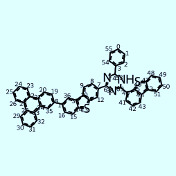 c1ccc(C2N=C(c3ccc4c(c3)sc3ccc(-c5ccc6c7ccccc7c7ccccc7c6c5)cc34)N=C(c3cccc4c3sc3ccccc34)N2)cc1